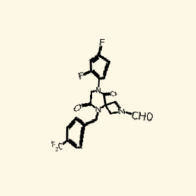 O=CN1CC2(C1)C(=O)N(c1ccc(F)cc1F)CC(=O)N2Cc1ccc(C(F)(F)F)cc1